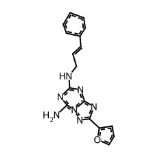 Nc1nc(NC/C=C/c2ccccc2)nc2nc(-c3ccco3)nn12